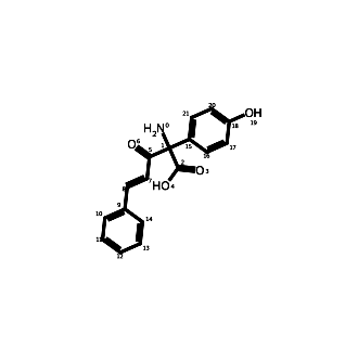 NC(C(=O)O)(C(=O)C=Cc1ccccc1)c1ccc(O)cc1